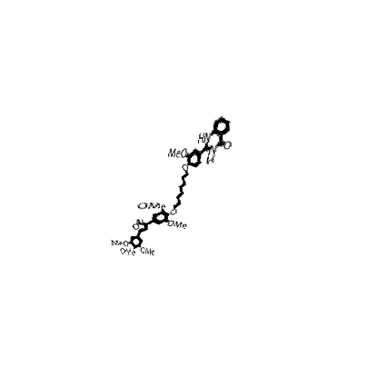 COc1cc(C2NC(=O)c3ccccc3N2)ccc1OCCCCCCCCOc1c(OC)cc(-c2cc(-c3cc(OC)c(OC)c(OC)c3)on2)cc1OC